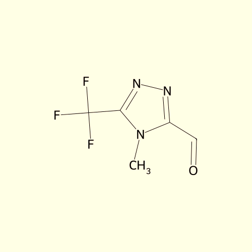 Cn1c(C=O)nnc1C(F)(F)F